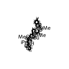 CC[C@H](C)[C@@H]([C@@H](CC(=O)N1CCC[C@H]1[C@H](OC)[C@@H](C)C(=O)N[C@@H](Cc1ccc(C)cc1)C(=O)OC)OC)N(C)C(=O)[C@@H](NC(=O)[C@]1(C)CCCN1C)C(C)C